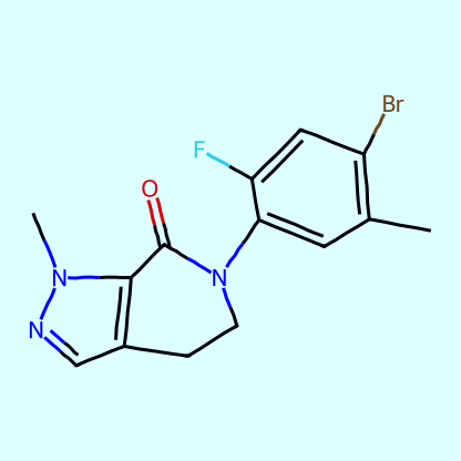 Cc1cc(N2CCc3cnn(C)c3C2=O)c(F)cc1Br